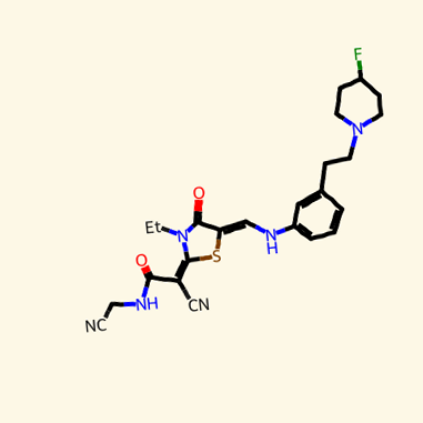 CCn1c(=C(C#N)C(=O)NCC#N)sc(=CNc2cccc(CCN3CCC(F)CC3)c2)c1=O